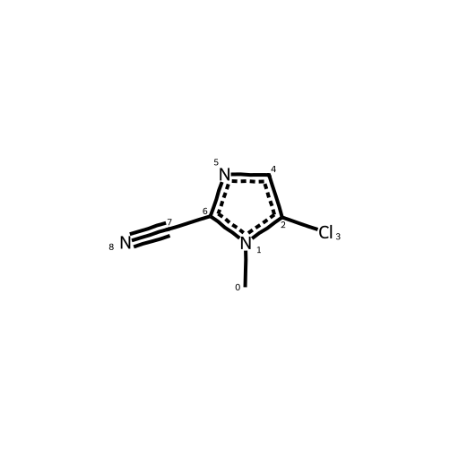 Cn1c(Cl)cnc1C#N